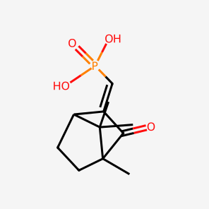 CC12CCC(C(=CP(=O)(O)O)C1=O)C2(C)C